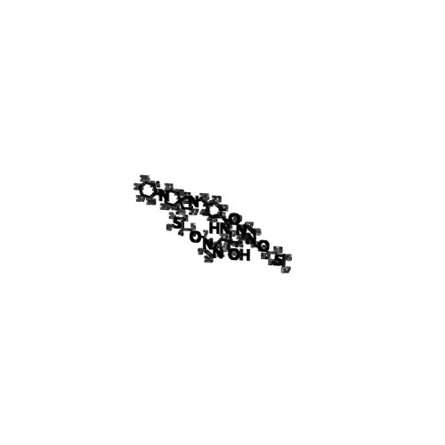 C[Si](C)(C)CCOCn1ccnc1CC(CO)(CNC(=O)c1ccc(CN2CCC3(CCN(C4CCCCC4)CC3)C2)cc1)Cc1nccn1COCC[Si](C)(C)C